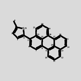 Cc1ccc(-c2ccc3c4cccc5cccc(c6cccc2c63)c54)s1